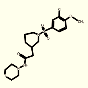 COc1ccc(S(=O)(=O)N2CCCC(CC(=O)NN3CCOCC3)C2)cc1Cl